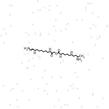 CC(N)CCNCCCCNC(=O)OCC(=O)NCCCCCCNC=NN